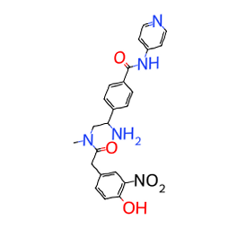 CN(CC(N)c1ccc(C(=O)Nc2ccncc2)cc1)C(=O)Cc1ccc(O)c([N+](=O)[O-])c1